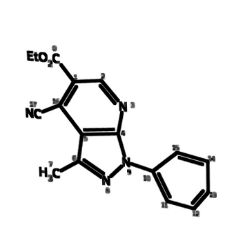 CCOC(=O)c1cnc2c(c(C)nn2-c2ccccc2)c1C#N